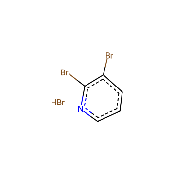 Br.Brc1cccnc1Br